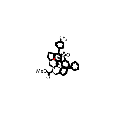 COC(=O)[C@H](Cc1ccc(-c2ccccc2)cc1)N(C[C@H]1CCCN1S(=O)(=O)c1ccccc1S(C)(=O)=O)C(=O)c1ccc(-c2ccc(C(F)(F)F)cc2)cc1